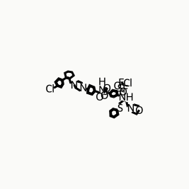 O=C(NS(=O)(=O)c1ccc(N[C@H](CCN2CCOCC2)CSc2ccccc2)c(S(=O)(=O)C(F)(F)Cl)c1)c1ccc(N2CCN(CC3=C(c4ccc(Cl)cc4)CCCC3)CC2)cc1